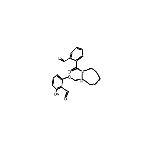 O=Cc1ccccc1C(=O)N1CCCCC[C@H]1COc1cccc(O)c1C=O